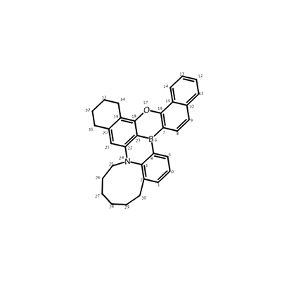 c1cc2c3c(c1)B1c4ccc5ccccc5c4Oc4c5c(cc(c41)N3CCCCCC2)CCCC5